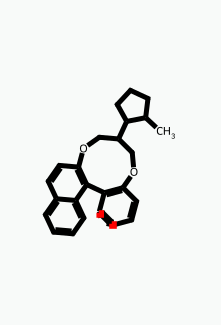 CC1CCCC1C1COc2ccc3ccccc3c2-c2c(ccc3ccccc23)OC1